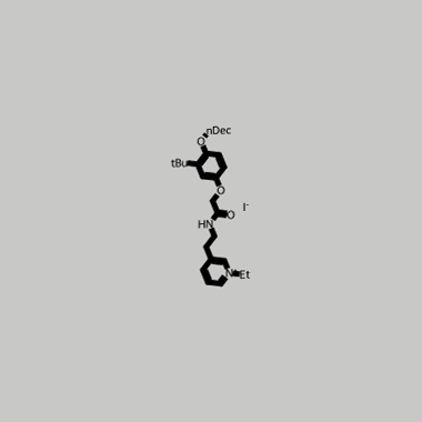 CCCCCCCCCCOc1ccc(OCC(=O)NCCc2ccc[n+](CC)c2)cc1C(C)(C)C.[I-]